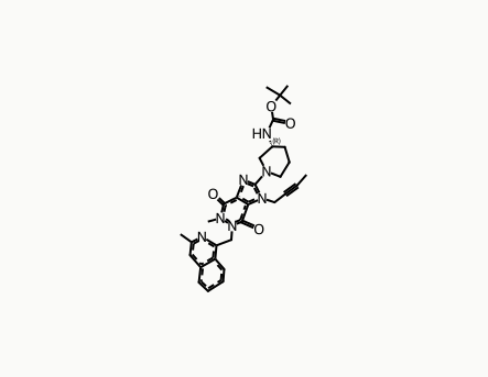 CC#CCn1c(N2CCC[C@@H](NC(=O)OC(C)(C)C)C2)nc2c(=O)n(C)n(Cc3nc(C)cc4ccccc34)c(=O)c21